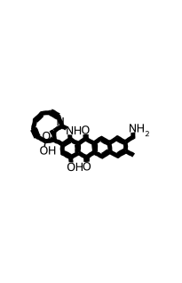 Cc1cc2cc3c(cc2cc1CN)C(=O)c1c2c(cc(O)c1C3=O)[C@@]13OC1[C@H](C#C/C=C\C#C[C@H]3O)N2